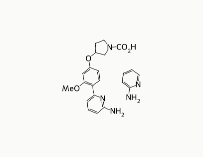 COc1cc(OC2CCN(C(=O)O)C2)ccc1-c1cccc(N)n1.Nc1ccccn1